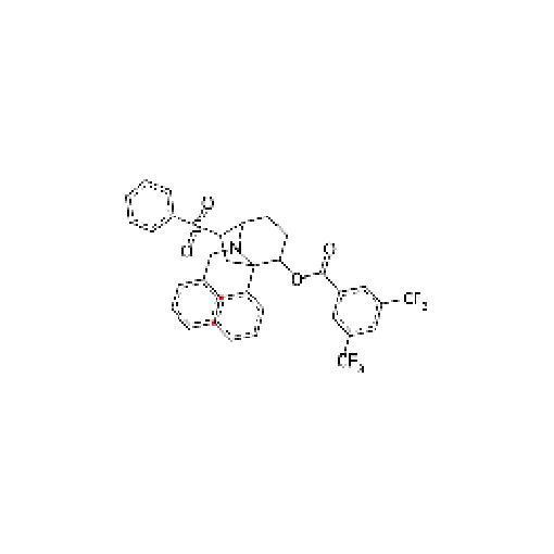 O=C(OC1CCC2C(S(=O)(=O)c3ccccc3)CC1(c1ccccc1)N2Cc1ccccc1)c1cc(C(F)(F)F)cc(C(F)(F)F)c1